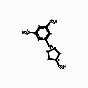 Cc1cc(C(=O)O)cc(C(=O)O)c1.O=C(O)N1CCCC1